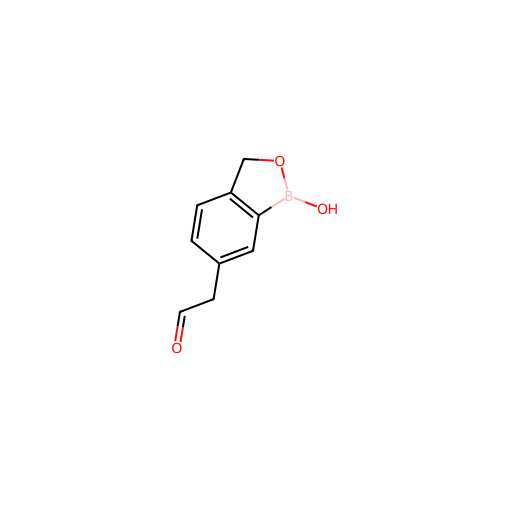 O=CCc1ccc2c(c1)B(O)OC2